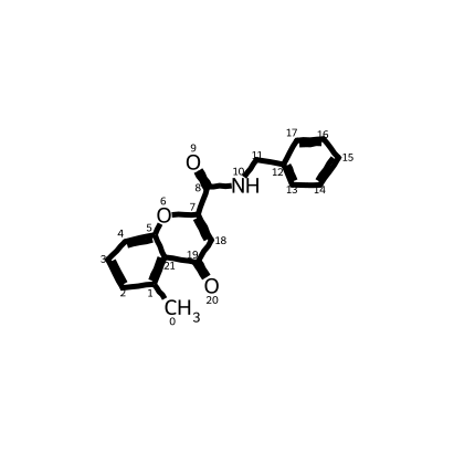 Cc1cccc2oc(C(=O)NCc3ccccc3)cc(=O)c12